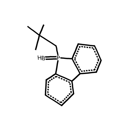 B=P1(CC(C)(C)C)c2ccccc2-c2ccccc21